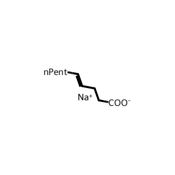 CCCCCC=CCCC(=O)[O-].[Na+]